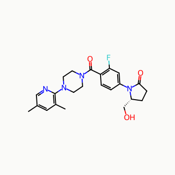 Cc1cnc(N2CCN(C(=O)c3ccc(N4C(=O)CC[C@@H]4CO)cc3F)CC2)c(C)c1